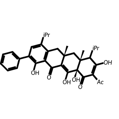 CC(=O)C1=C(O)C(C(C)C)[C@@]2(C)C[C@@]3(C)Cc4c(C(C)C)cc(-c5ccccc5)c(O)c4C(=O)C3=C(O)[C@@]2(O)C1=O